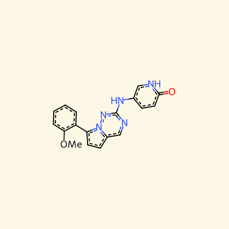 COc1ccccc1-c1ccc2cnc(Nc3ccc(=O)[nH]c3)nn12